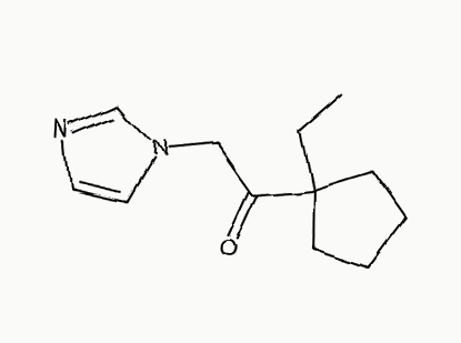 CCC1(C(=O)Cn2ccnc2)CCCC1